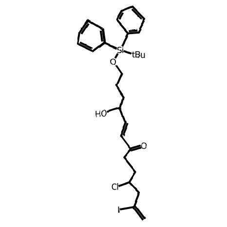 C=C(I)CC(Cl)CCC(=O)C=CC(O)CCCO[Si](c1ccccc1)(c1ccccc1)C(C)(C)C